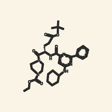 CCOC(=O)N1CCN(C(=O)[C@H](CCC(=O)OC(C)(C)C)NC(=O)c2cc(NC3CCCCC3)nc(-c3ccccc3)n2)CC1